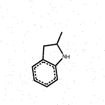 CC1Cc2c[c]ccc2N1